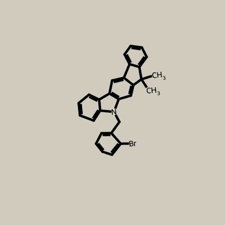 CC1(C)c2ccccc2-c2cc3c4ccccc4n(Cc4ccccc4Br)c3cc21